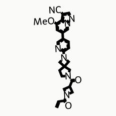 C=CC(=O)N1CC(C(=O)N2CCC3(C2)CN(c2ccc(-c4cc(OC)c5c(C#N)cnn5c4)cn2)C3)C1